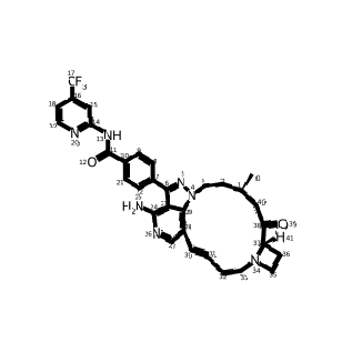 C[C@@H]1CCn2nc(-c3ccc(C(=O)Nc4cc(C(F)(F)F)ccn4)cc3)c3c(N)ncc(c32)/C=C/CCN2CC[C@H]2C(=O)C1